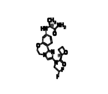 C[C@H](Nc1ccc2c(c1)OCCn1cc(N(CC(F)F)C(=O)[C@H]3CCO3)nc1-2)C(N)=O